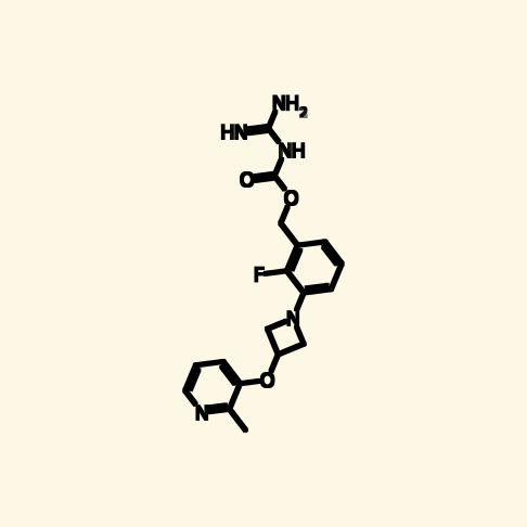 Cc1ncccc1OC1CN(c2cccc(COC(=O)NC(=N)N)c2F)C1